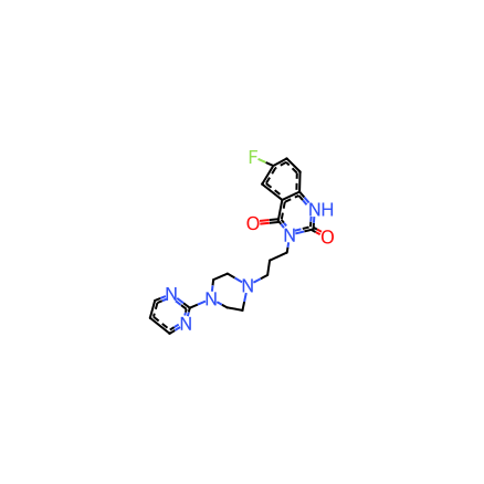 O=c1[nH]c2ccc(F)cc2c(=O)n1CCCN1CCN(c2ncccn2)CC1